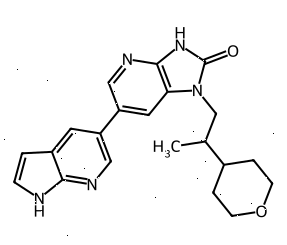 CC(Cn1c(=O)[nH]c2ncc(-c3cnc4[nH]ccc4c3)cc21)C1CCOCC1